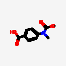 CN(C([O])=O)c1ccc(C(=O)O)cc1